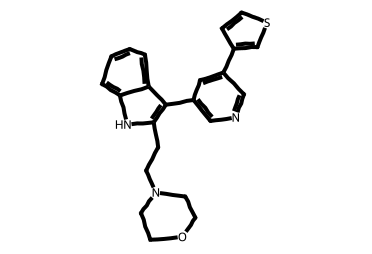 c1ccc2c(-c3cncc(-c4ccsc4)c3)c(CCN3CCOCC3)[nH]c2c1